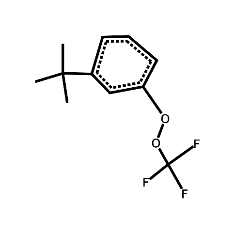 CC(C)(C)c1cccc(OOC(F)(F)F)c1